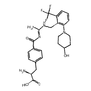 N/C(=N\C(=O)c1ccc(C[C@H](N)C(=O)O)cc1)NCc1c(N2CCC(O)CC2)cccc1C(F)(F)F